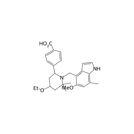 CCOC1CC(c2ccc(C(=O)O)cc2)N(Cc2c(OC)cc(C)c3[nH]ccc23)C(C)(C)C1